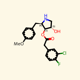 COc1ccc(C[C@H]2NC[C@H](O)[C@H]2OC(=O)Cc2ccc(F)c(Cl)c2)cc1